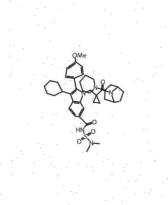 COc1ccc(-c2c(C3CCCCC3)c3ccc(C(=O)NS(=O)(=O)N(C)C)cc3n2CC2(C(=O)N3C4CCC3CC(N3CCCCC3)C4)CC2)cc1